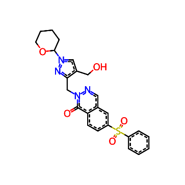 O=c1c2ccc(S(=O)(=O)c3ccccc3)cc2cnn1Cc1nn(C2CCCCO2)cc1CO